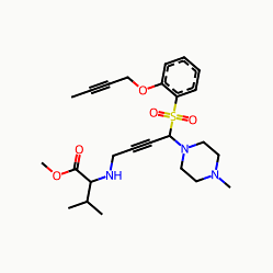 CC#CCOc1ccccc1S(=O)(=O)C(C#CCNC(C(=O)OC)C(C)C)N1CCN(C)CC1